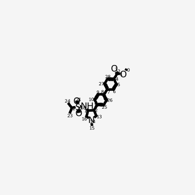 COC(=O)c1ccc(-c2ccc(C3CN(C)CC3NS(=O)(=O)C(C)C)cc2)cc1